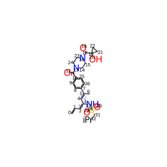 C=C/C=C(\C=C(/C)c1ccc(C(=O)N2CCN(C(=O)C3(O)CC3)CC2)cc1)NS(=O)(=O)CC(C)C